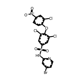 O=[N+]([O-])c1ccc(Oc2c(Cl)cc(S(=O)(=O)Nc3cc(Br)ccn3)cc2Cl)c(Cl)c1